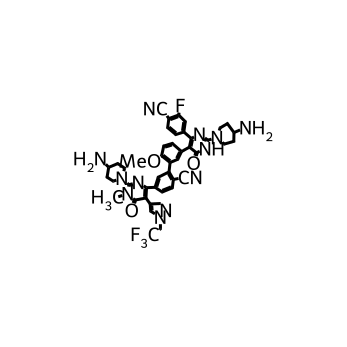 COc1ccc(-c2c(-c3ccc(C#N)c(F)c3)nc(N3CCC(N)CC3)[nH]c2=O)cc1-c1cc(-c2nc(N3CCC(N)CC3)n(C)c(=O)c2-c2cnn(CC(F)(F)F)c2)ccc1C#N